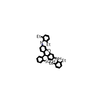 CCc1cccc(CC)c1/N=c1/ccc2c(-c3ccccc3S(=O)(=O)O)c3ccc(Nc4c(CC)cccc4CC)cc3oc-2c1